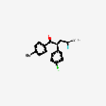 CCOC(=O)[C@@H](F)CC(C(=O)c1ccc(C(C)(C)C)cc1)c1ccc(Cl)cc1